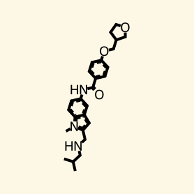 CC(C)CNCc1cc2cc(NC(=O)c3ccc(OCC4CCOC4)cc3)ccc2n1C